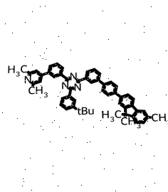 Cc1ccc2c(c1)-c1ccc(-c3ccc(-c4cccc(-c5nc(-c6cccc(-c7cc(C)nc(C)c7)c6)nc(-c6cccc(C(C)(C)C)c6)n5)c4)cc3)cc1C2(C)C